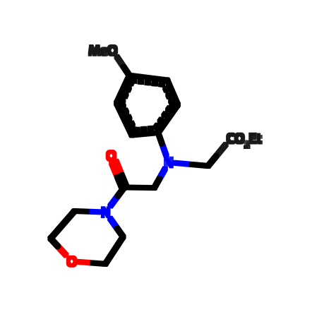 CCOC(=O)CN(CC(=O)N1CCOCC1)c1ccc(OC)cc1